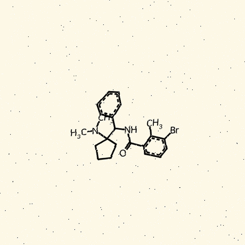 Cc1c(Br)cccc1C(=O)NC(c1ccccc1)C1(N(C)C)CCCC1